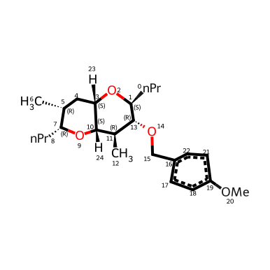 CCC[C@@H]1O[C@H]2C[C@@H](C)[C@@H](CCC)O[C@H]2[C@H](C)[C@H]1OCc1ccc(OC)cc1